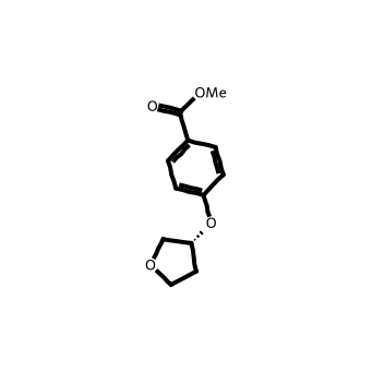 COC(=O)c1ccc(O[C@@H]2CCOC2)cc1